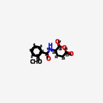 O=Cc1ccccc1C(=O)NC1CCC(=O)OC1=O